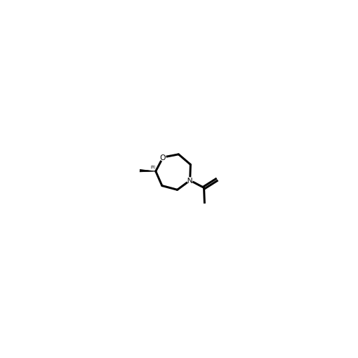 C=C(C)N1CCO[C@H](C)CC1